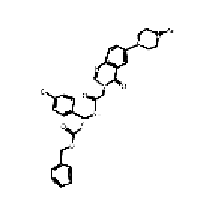 CC(=O)N1CCN(c2ccc3ncn(CC(=O)N[C@H](CC(=O)OCc4ccccc4)c4ccc(Cl)cc4)c(=O)c3c2)CC1